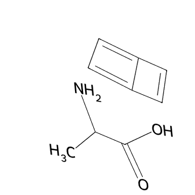 CC(N)C(=O)O.c1cc2ccc1-2